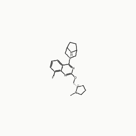 CN1CCC[C@H]1COc1nc(N2CC3CCC(C2)N3)c2cccc(F)c2n1